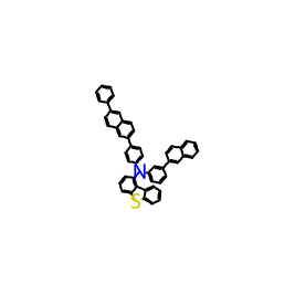 c1ccc(-c2ccc3cc(-c4ccc(N(c5cccc(-c6ccc7ccccc7c6)c5)c5cccc6sc7ccccc7c56)cc4)ccc3c2)cc1